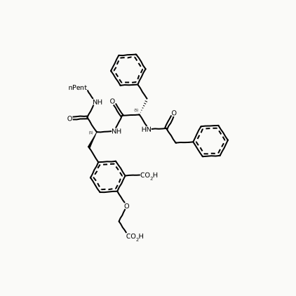 CCCCCNC(=O)[C@H](Cc1ccc(OCC(=O)O)c(C(=O)O)c1)NC(=O)[C@H](Cc1ccccc1)NC(=O)Cc1ccccc1